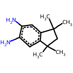 CC1(C)CC(C)(C)c2cc(N)c(N)cc21